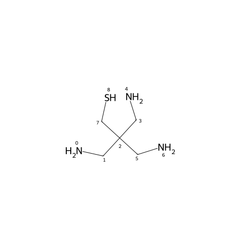 NCC(CN)(CN)CS